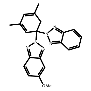 COc1ccc2nn(C3(n4nc5ccccc5n4)C=C(C)[C]=C(C)C3)nc2c1